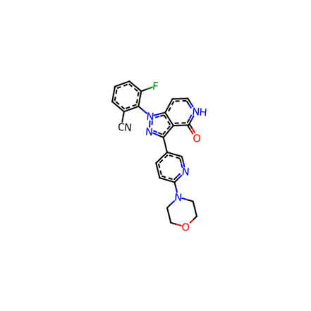 N#Cc1cccc(F)c1-n1nc(-c2ccc(N3CCOCC3)nc2)c2c(=O)[nH]ccc21